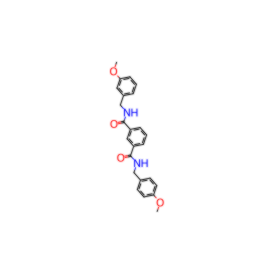 COc1ccc(CNC(=O)c2cccc(C(=O)NCc3cccc(OC)c3)c2)cc1